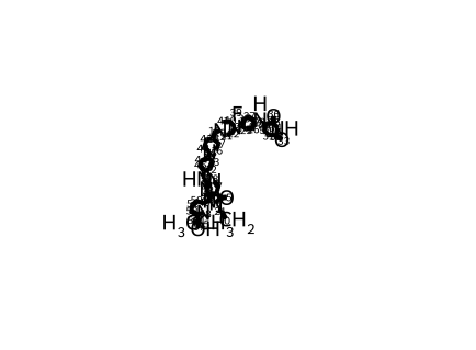 C=CCn1c(=O)c2cnc(Nc3ccc(N4CCC(CN5CCN(c6ccc(N[C@@H]7CCC(=O)NC7=O)cc6F)CC5)CC4)cc3)nc2n1-c1cccc(C(C)(C)O)n1